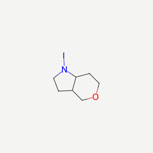 IN1CCC2COCCC21